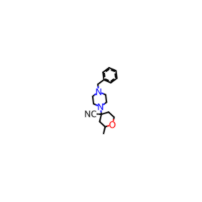 CC1CC(C#N)(N2CCN(Cc3ccccc3)CC2)CCO1